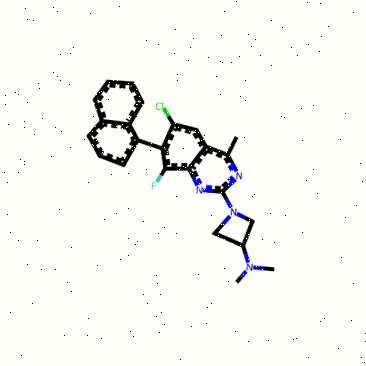 Cc1nc(N2CC(N(C)C)C2)nc2c(F)c(-c3cccc4ccccc34)c(Cl)cc12